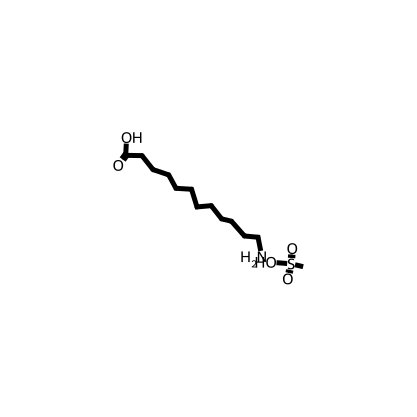 CS(=O)(=O)O.NCCCCCCCCCCCC(=O)O